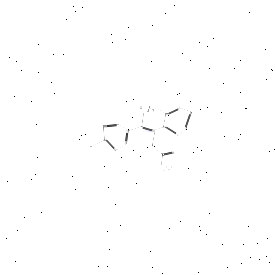 CSC(=O)C/C(=C(/C#N)c1ccc(Cl)cc1)c1ccccc1C(F)(F)F